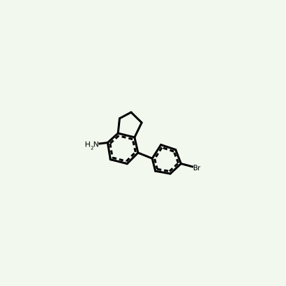 Nc1ccc(-c2ccc(Br)cc2)c2c1CCC2